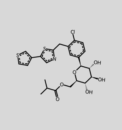 CC(C)C(=O)OC[C@H]1O[C@@H](c2ccc(Cl)c(Cc3ncc(-c4ccsc4)s3)c2)[C@H](O)[C@@H](O)[C@@H]1O